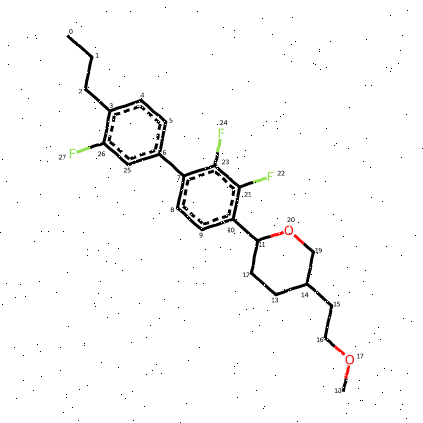 CCCc1ccc(-c2ccc(C3CCC(CCOC)CO3)c(F)c2F)cc1F